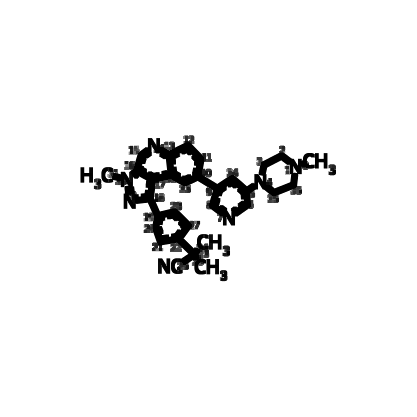 CN1CCN(c2cncc(-c3ccc4ncc5c(c(-c6ccc(C(C)(C)C#N)cc6)nn5C)c4c3)c2)CC1